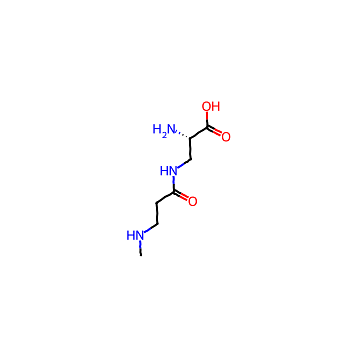 CNCCC(=O)NC[C@H](N)C(=O)O